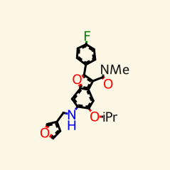 CNC(=O)c1c(-c2ccc(F)cc2)oc2cc(NCc3ccoc3)c(OC(C)C)cc12